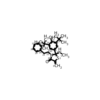 C=C1SC(NC)(c2cc(C(C)(C)C)c(O)c(C(C)(C)C)c2)N(CCc2ccccc2)C1=O